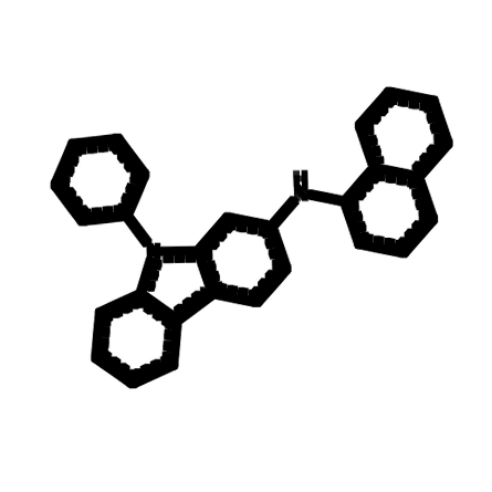 c1ccc(-n2c3ccccc3c3ccc(Nc4cccc5ccccc45)cc32)cc1